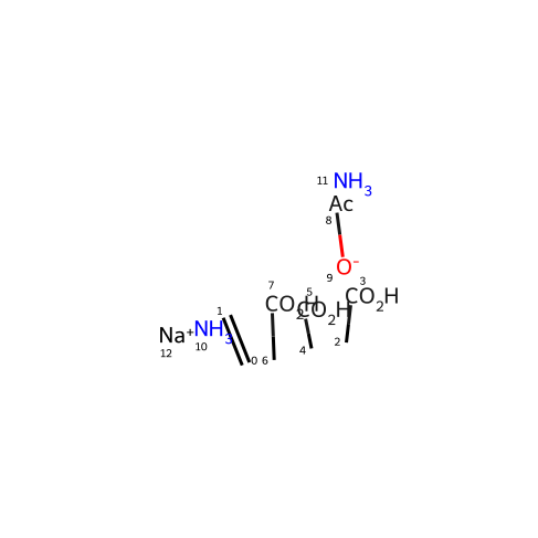 C=C.CC(=O)O.CC(=O)O.CC(=O)O.CC(=O)[O-].N.N.[Na+]